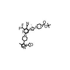 Cc1cnn(C2COC2)c1C1CCN(c2cc(N3C[C@@H](N4CCN(C(=O)OC(C)(C)C)CC4)[C@H]3C)c(C#N)c(C(F)F)n2)CC1